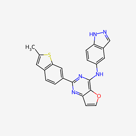 Cc1cc2ccc(-c3nc(Nc4ccc5[nH]ncc5c4)c4occc4n3)cc2s1